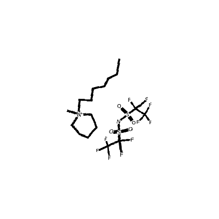 CCCCCCC[N+]1(C)CCCCC1.O=S(=O)([N-]S(=O)(=O)C(F)(F)C(F)(F)F)C(F)(F)C(F)(F)F